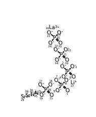 O=P([O-])([O-])[O-].O=P([O-])([O-])[O-].O=P([O-])([O-])[O-].O=P([O-])([O-])[O-].O=P([O-])([O-])[O-].[Al+3].[La+3].[Li+].[Sr+2].[Sr+2].[Ti+4]